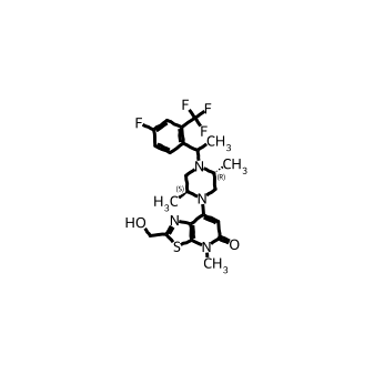 CC(c1ccc(F)cc1C(F)(F)F)N1C[C@H](C)N(c2cc(=O)n(C)c3sc(CO)nc23)C[C@H]1C